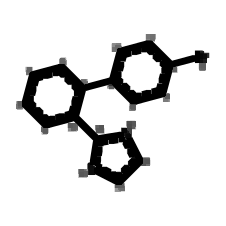 Brc1ccc(-c2ccccc2-c2nccs2)cc1